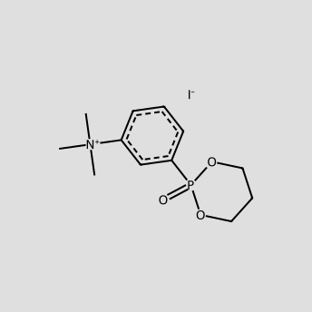 C[N+](C)(C)c1cccc(P2(=O)OCCCO2)c1.[I-]